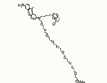 COCCOCCOCCOCCOCCOCCOCCOCCOCCOCCOCCN(CCCCCC(=O)ON1C(=O)CCC1=O)C(=O)Cc1c(C)c2ccc(N)cc2oc1=O